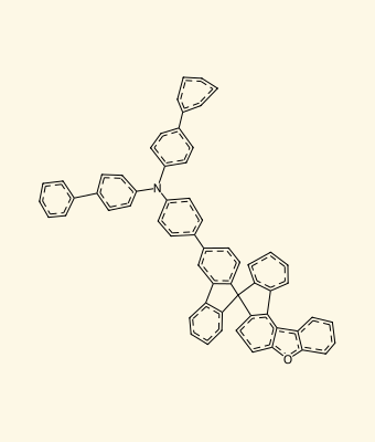 c1ccc(-c2ccc(N(c3ccc(-c4ccccc4)cc3)c3ccc(-c4ccc5c(c4)-c4ccccc4C54c5ccccc5-c5c4ccc4oc6ccccc6c54)cc3)cc2)cc1